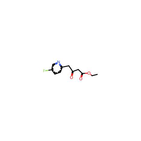 CCOC(=O)CC(=O)Cc1ccc(F)cn1